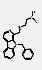 CCN(CC)CCNCc1nccc2c3ccccc3n(Cc3ccccc3)c12